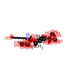 CC1O[C@@H](OC2C(OC(=O)[C@]34CCC(C)(C)CC3C3=CCC5C6(C)CC[C@H](O[C@@H]7OC(C(=O)O)[C@@H](O)[C@H](O[C@@H]8OC[C@@H](O)[C@@H](O)C8O)C7O[C@@H]7OC(CO)[C@H](O)[C@H](O)C7O)[C@](C)(C=O)[C@@H]6CCC5(C)[C@]3(C)CC4O)OC(CO)[C@H](NC(=O)CCCCCCCCCCC(=O)O)C2O)C(O)C(O)[C@H]1O[C@@H]1OC[C@@H](O)C(O)C1O